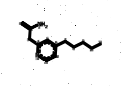 C=C(N)Cc1cc(CCCCC)ccn1